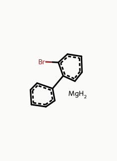 Brc1ccccc1-c1ccccc1.[MgH2]